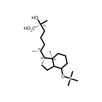 C[C@H](CCC[C@](C)(O)C(=O)O)[C@H]1CCC2C(O[Si](C)(C)C)CCC[C@@]21C